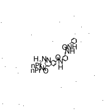 CCCN(CCC)C(=O)C1=Cc2ccc(C(=O)Nc3cccc(CNC(=O)NCc4ccccc4)c3)cc2N=C(N)C1